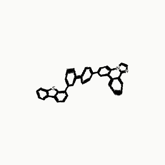 c1cc(-c2ccc(-c3ccc4c(c3)c3ccccc3c3nccn43)cc2)cc(-c2cccc3c2sc2ccccc23)c1